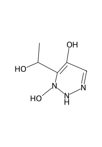 CC(O)C1=C(O)C=NNN1O